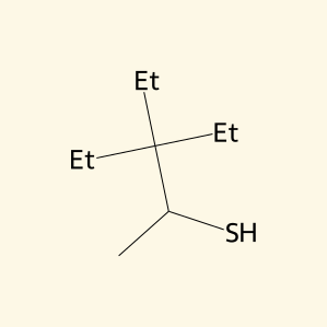 CCC(CC)(CC)C(C)S